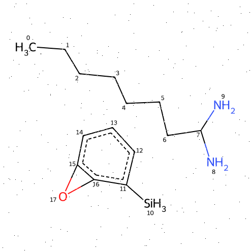 CCCCCCCC(N)N.[SiH3]c1cccc2c1O2